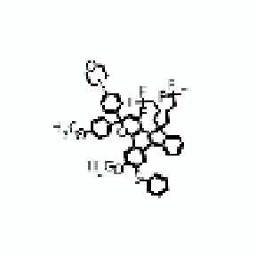 COc1ccc(C2(c3ccc(N4CCOCC4)cc3)C=Cc3c4c(c5cc(Sc6ccccc6)c(OC)cc5c3O2)-c2ccccc2C4(CCCC(F)(F)F)CCCC(F)(F)F)cc1